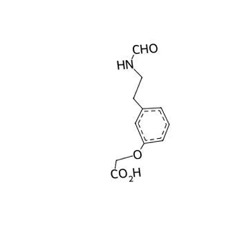 O=CNCCc1cccc(OCC(=O)O)c1